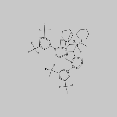 C[SiH](C)[Zr]([Cl])([Cl])([CH]1C(CC2CCCCC2)=Cc2c(-c3cc(C(F)(F)F)cc(C(F)(F)F)c3)cccc21)[CH]1C(CC2CCCCC2)=Cc2c(-c3cc(C(F)(F)F)cc(C(F)(F)F)c3)cccc21